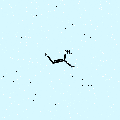 FC=C(F)P